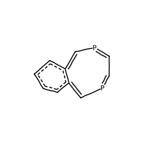 C1=PC=c2ccccc2=CP=C1